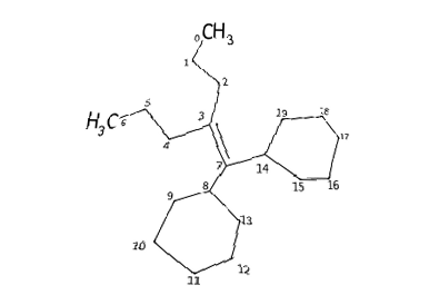 CCCC(CCC)=C(C1CCCCC1)C1CCCCC1